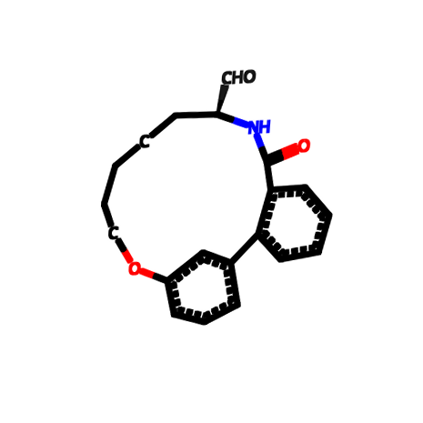 O=C[C@@H]1CCCCCOc2cccc(c2)-c2ccccc2C(=O)N1